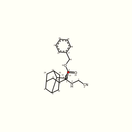 N#CCNC(=O)C12CC3CC(C1)C(NC(=O)OCc1ccccc1)C(C3)C2